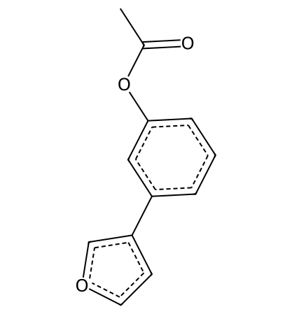 CC(=O)Oc1cccc(-c2ccoc2)c1